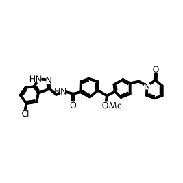 COC(c1ccc(Cn2ccccc2=O)cc1)c1cccc(C(=O)NCc2n[nH]c3ccc(Cl)cc23)c1